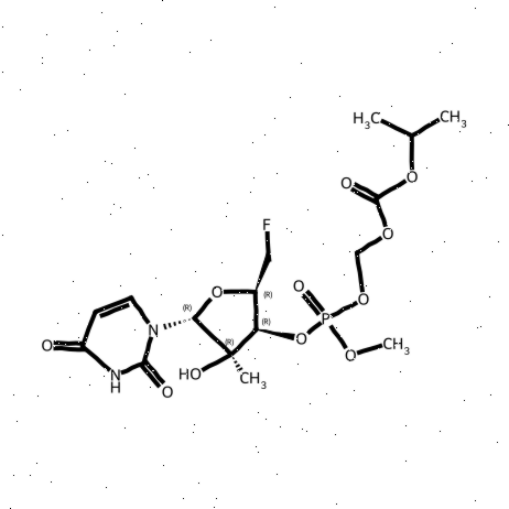 COP(=O)(OCOC(=O)OC(C)C)O[C@@H]1[C@H](CF)O[C@@H](n2ccc(=O)[nH]c2=O)[C@]1(C)O